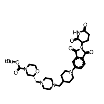 CC(C)(C)OC(=O)N1CCO[C@H](CN2CCN(CC3CCN(c4ccc5c(c4)C(=O)N(C4CCC(=O)NC4=O)C5=O)CC3)CC2)C1